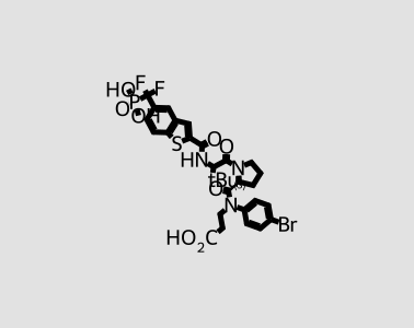 CC(C)(C)C(NC(=O)c1cc2cc(C(F)(F)P(=O)(O)O)ccc2s1)C(=O)N1CCC[C@H]1C(=O)N(CCC(=O)O)c1ccc(Br)cc1